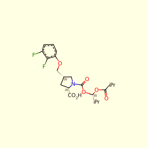 CC(C)C(=O)O[C@@H](OC(=O)N1C[C@@H](COc2cccc(F)c2F)C[C@H]1C(=O)O)C(C)C